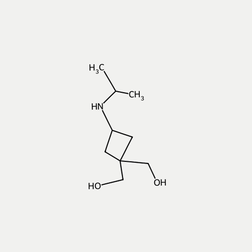 CC(C)NC1CC(CO)(CO)C1